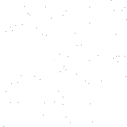 Cc1ccc(CO)c(-n2ccc(C)n2)c1